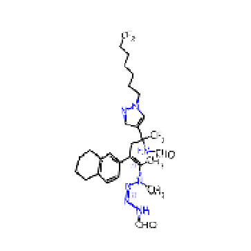 C/C(=C(\CC(NC=O)(c1cnn(CCCCCCC(F)(F)F)c1)C(F)(F)F)c1ccc2c(c1)CCCC2)N(C)/N=N\NC=O